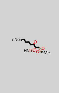 CCCCCCCCCCCCCC(=O)C(O)CS(=O)(=O)OC.[NaH]